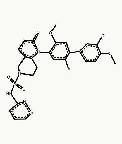 COc1ccc(-c2cc(OC)c(-n3c4c(ccc3=O)CN(S(=O)(=O)Nc3cccnn3)CC4)cc2F)cc1Cl